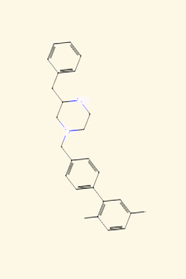 Cc1ccc(C)c(-c2ccc(CN3CCNC(Cc4ccccc4)C3)cc2)c1